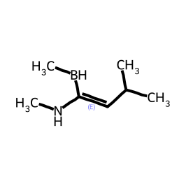 CB/C(=C\C(C)C)NC